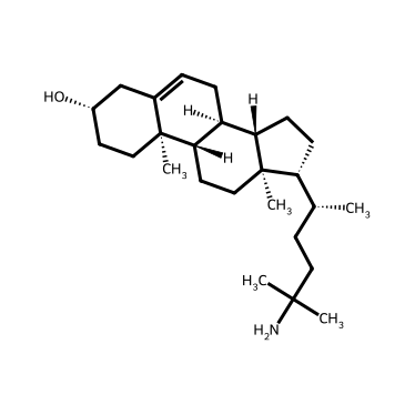 C[C@H](CCC(C)(C)N)[C@H]1CC[C@H]2[C@@H]3CC=C4C[C@@H](O)CC[C@]4(C)[C@H]3CC[C@]12C